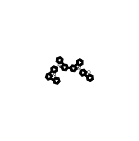 c1ccc2c(c1)oc1cc(-n3c4ccccc4c4cc(-c5ccc6c(c5)c5ccccc5n6-c5ccc6c7cccc8c9ccccc9n(c6c5)c87)ccc43)ccc12